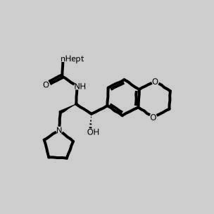 CCCCCCCC(=O)N[C@H](CN1CCCC1)[C@@H](O)c1ccc2c(c1)OCCO2